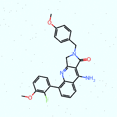 COc1ccc(CN2Cc3nc4c(-c5cccc(OC)c5F)cccc4c(N)c3C2=O)cc1